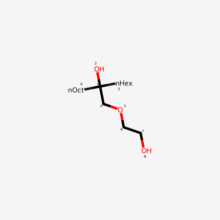 CCCCCCCCC(O)(CCCCCC)COCCO